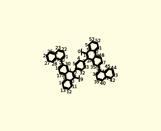 Ic1c(-c2ccc(-c3c(I)c4ccccc4c4ccc(-c5cccc6ccccc56)cc34)cc2)c2cc(-c3cccc4ccccc34)ccc2c2ccccc12